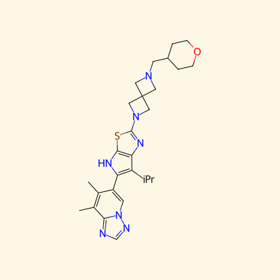 Cc1c(-c2[nH]c3sc(N4CC5(CN(CC6CCOCC6)C5)C4)nc3c2C(C)C)cn2ncnc2c1C